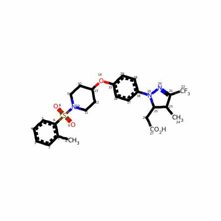 Cc1ccccc1S(=O)(=O)N1CCC(Oc2ccc(N3N=C(C(F)(F)F)C(C)C3CC(=O)O)cc2)CC1